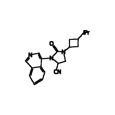 CC(C)C1CC(N2CC(C#N)N(c3cncc4ccccc34)C2=O)C1